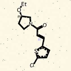 CCO[C@@H]1CCN(C(=O)/C=C/c2ccc(Cl)s2)C1